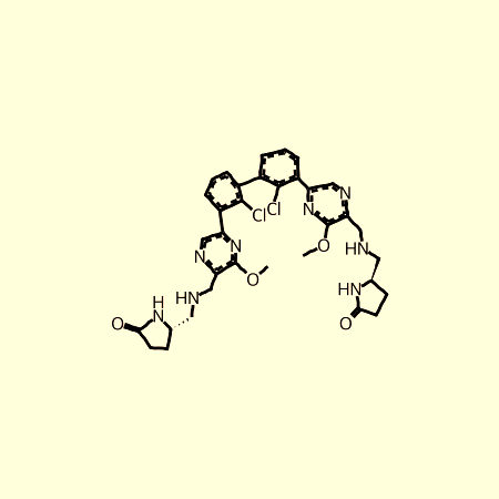 COc1nc(-c2cccc(-c3cccc(-c4cnc(CNC[C@@H]5CCC(=O)N5)c(OC)n4)c3Cl)c2Cl)cnc1CNC[C@H]1CCC(=O)N1